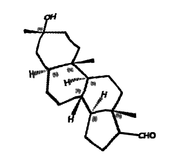 C[C@@]1(O)CC[C@@]2(C)[C@@H](CC[C@@H]3[C@@H]2CC[C@]2(C)C(C=O)CC[C@@H]32)C1